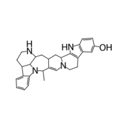 CC1C2=CN3CCc4c([nH]c5ccc(O)cc45)C3CC2CC2NCCC3c4ccccc4N1C23